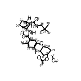 COC[C@]1(OC(C)=O)CC[C@@H](Oc2cc(C(=O)N[C@@H]3[C@H]4CC[C@H](C4)[C@@H]3C(=O)NCC(C)(C)C)c(C)cc2F)CC1